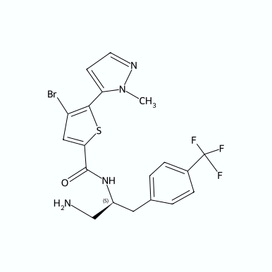 Cn1nccc1-c1sc(C(=O)N[C@H](CN)Cc2ccc(C(F)(F)F)cc2)cc1Br